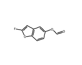 O=COc1ccc2oc(F)cc2c1